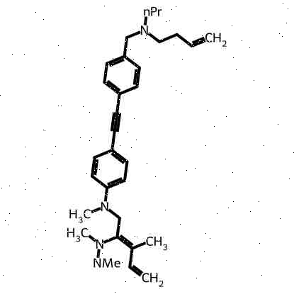 C=CCCN(CCC)Cc1ccc(C#Cc2ccc(N(C)C/C(=C(\C)C=C)N(C)NC)cc2)cc1